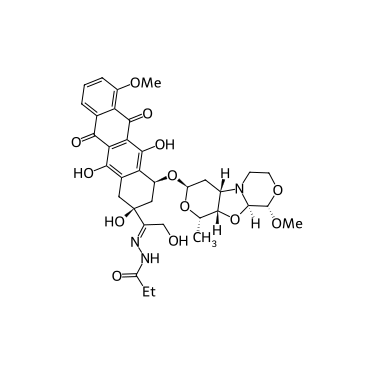 CCC(=O)N/N=C(\CO)[C@]1(O)Cc2c(O)c3c(c(O)c2[C@@H](O[C@H]2C[C@H]4[C@H](O[C@@H]5[C@@H](OC)OCCN54)[C@H](C)O2)C1)C(=O)c1c(OC)cccc1C3=O